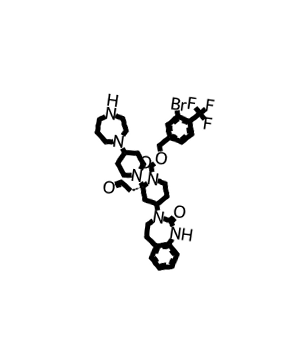 O=CC[C@@]1(N2CCC(N3CCCNCC3)CC2)CC(N2CCc3ccccc3NC2=O)CCN1C(=O)OCc1ccc(C(F)(F)F)c(Br)c1